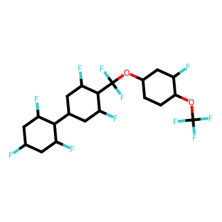 FC1CC(F)C(C2CC(F)C(C(F)(F)OC3CCC(OC(F)(F)F)C(F)C3)C(F)C2)C(F)C1